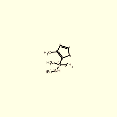 CC1=C([Si](C)(C)NC(C)(C)C)CC=C1